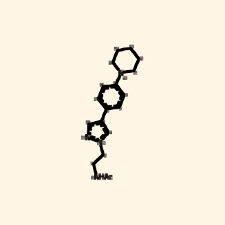 CC(=O)NCCn1cc(-c2ccc(N3CCCCC3)cc2)cn1